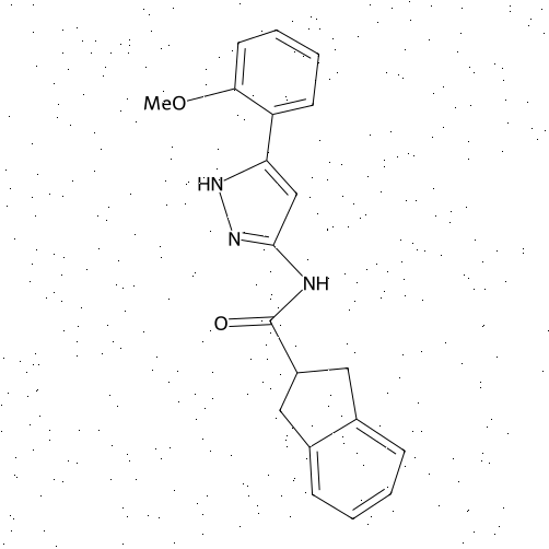 COc1ccccc1-c1cc(NC(=O)C2Cc3ccccc3C2)n[nH]1